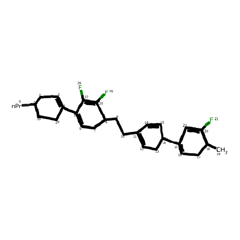 CCCC1CC=C(C2=CCC(CCC3=CCC(C4=CCC(C)C(F)=C4)C=C3)C(F)=C2F)CC1